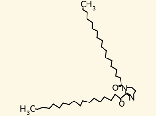 CCCCCCCCCCCCCCCCCC(=O)C1=NCCN1C(=O)CCCCCCCCCCCCCCCCC